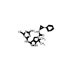 CC1(C)c2[nH]nc(Nc3nc(N)nc(Cl)n3)c2CN1C(=O)N[C@@H]1C[C@H]1c1ccccc1